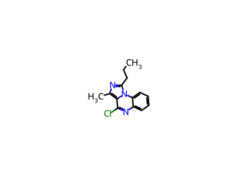 CCCc1nc(C)c2c(Cl)nc3ccccc3n12